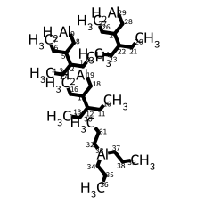 CCC(CC)C(CC)[CH2][AlH2].CCC(CC)C(CC)[CH2][AlH2].CCC(CC)C(CC)[CH2][AlH2].CC[CH2][Al]([CH2]CC)[CH2]CC